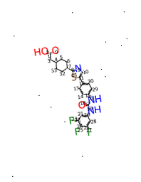 O=C(O)CC1CCC(c2ncc(-c3ccc(NC(=O)Nc4cc(F)c(F)c(F)c4)cc3)s2)CC1